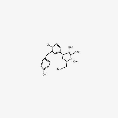 CC(=O)OC[C@H]1C[C@@H](c2ccc(Cl)c(Cc3ccc(O)cc3)c2)[C@H](OC(C)=O)[C@@H](OC(C)=O)[C@@H]1OC(C)=O